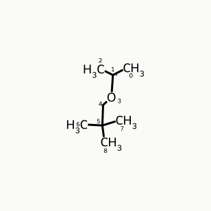 C[C](C)OCC(C)(C)C